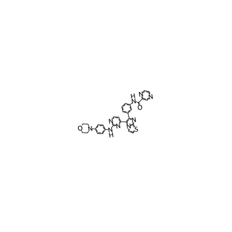 O=C(Nc1cccc(-c2nc3sccn3c2-c2ccnc(Nc3ccc(N4CCOCC4)cc3)n2)c1)c1cnccn1